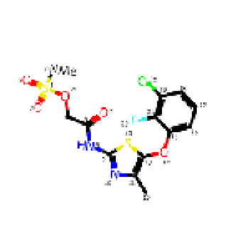 CNS(=O)(=O)OCC(=O)Nc1nc(C)c(Oc2cccc(Cl)c2F)s1